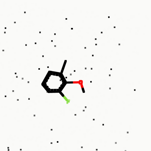 COc1c(F)[c]ccc1C